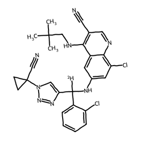 [2H]C(Nc1cc(Cl)c2ncc(C#N)c(NCC(C)(C)C)c2c1)(c1cn(C2(C#N)CC2)nn1)c1ccccc1Cl